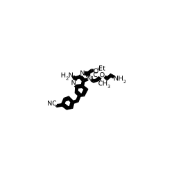 CCOCc1nc2c(N)nc3cc(Cc4ccc(CC#N)cc4)ccc3c2n1CC(C)(C)OCCN